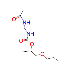 CCCCOCC(C)OC(=O)NCNC(C)=O